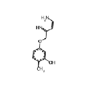 Cc1ccc(OCC(=N)/C=C\N)cc1O